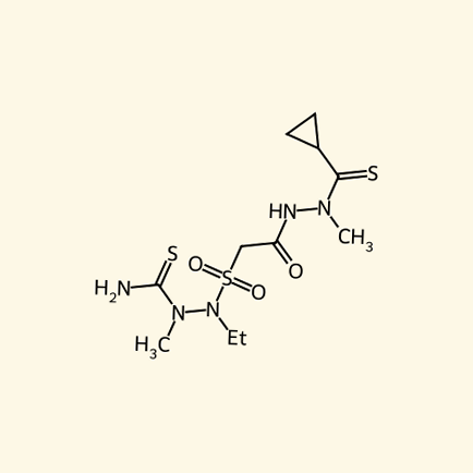 CCN(N(C)C(N)=S)S(=O)(=O)CC(=O)NN(C)C(=S)C1CC1